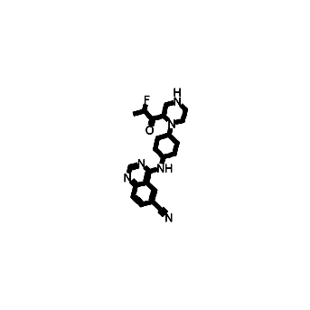 CC(F)C(=O)C1CNCCN1C1CCC(Nc2ncnc3ccc(C#N)cc23)CC1